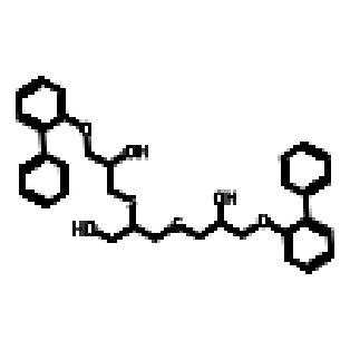 OCC(CSCC(O)COc1ccccc1-c1ccccc1)SCC(O)COc1ccccc1-c1ccccc1